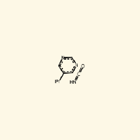 CC(C)c1cncnc1.N=C=O